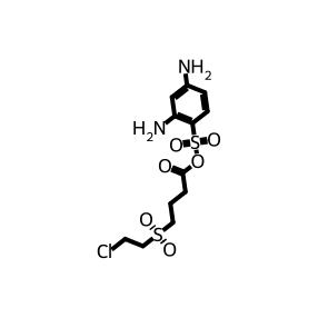 Nc1ccc(S(=O)(=O)OC(=O)CCCS(=O)(=O)CCCl)c(N)c1